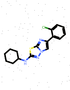 Clc1ccccc1-c1cn2nc(NC3CCCCC3)sc2n1